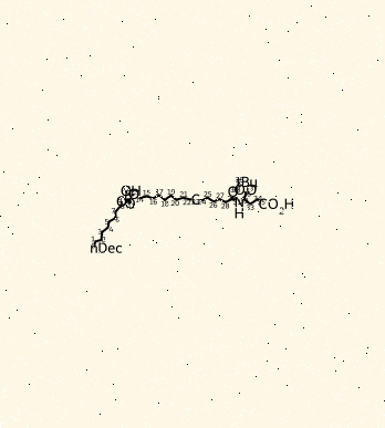 CCCCCCCCCCCCCCCCCCOP(=O)(O)OCCCCCCCCCCCCCCCC(=O)NC(CCC(=O)O)C(=O)OC(C)(C)C